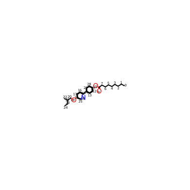 CCCCCCCCC(=O)Oc1ccc(-c2ccc(OCC(C)CC)cn2)cc1